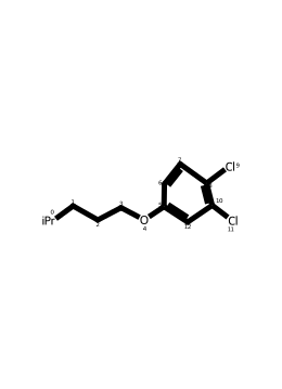 CC(C)CCCOc1ccc(Cl)c(Cl)c1